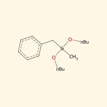 CCCCO[Si](C)(Cc1ccccc1)OCCCC